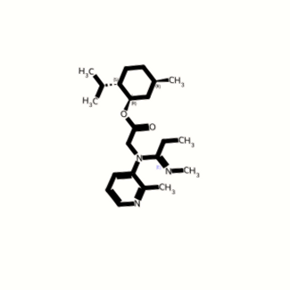 CC/C(=N\C)N(CC(=O)O[C@@H]1C[C@H](C)CC[C@H]1C(C)C)c1cccnc1C